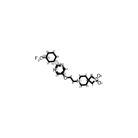 O=S1(=O)CC2(CCN(CCOc3cnc([C@H]4CCC[C@H](C(F)(F)F)C4)nc3)CC2)C1